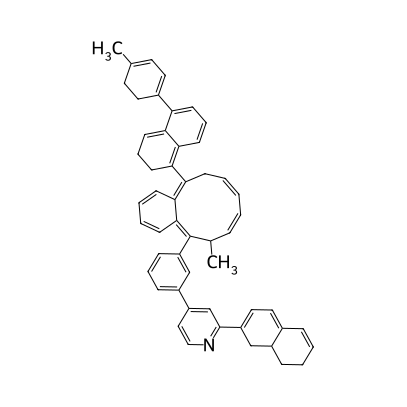 CC1=CC=C(c2cccc3c2=CCCC=3/C2=c3\cccc\c3=C(/c3cccc(-c4ccnc(C5=CC=C6C=CCCC6C5)c4)c3)C(C)/C=C\C=C/C2)CC1